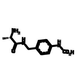 C[C@H](N)C(=O)NCc1ccc(NC(=O)O)cc1